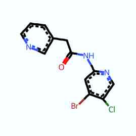 O=C(Cc1cccnc1)Nc1cc(Br)c(Cl)cn1